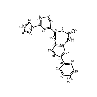 O=C1CC(c2ccnc(-n3ccnc3)c2)=Nc2ccc(-c3ccc(F)cc3)cc2N1